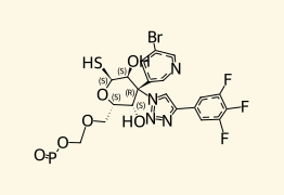 O=POCOC[C@@H]1O[C@@H](S)[C@@H](O)[C@](c2cncc(Br)c2)(n2cc(-c3cc(F)c(F)c(F)c3)nn2)[C@@H]1O